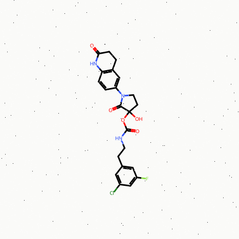 O=C1CCc2cc(N3CCC(O)(OC(=O)NCCc4cc(F)cc(Cl)c4)C3=O)ccc2N1